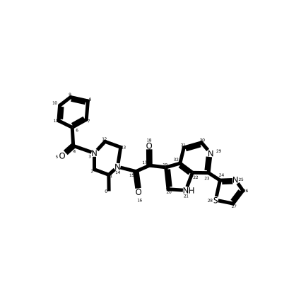 CC1CN(C(=O)c2ccccc2)CCN1C(=O)C(=O)c1c[nH]c2c(-c3nccs3)nccc12